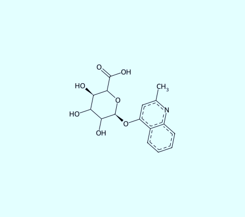 Cc1cc(O[C@@H]2OC(C(=O)O)[C@H](O)C(O)C2O)c2ccccc2n1